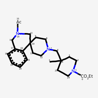 CCOC(=O)N1CCC(C)(CN2CCC3(CC2)CN(C(C)=O)Cc2ccccc23)CC1